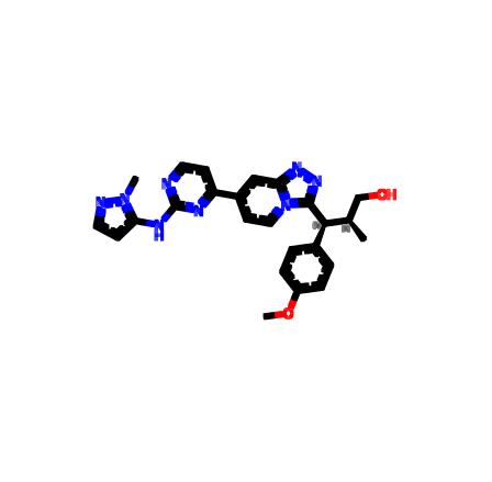 COc1ccc([C@@H](c2nnc3cc(-c4ccnc(Nc5ccnn5C)n4)ccn23)[C@H](C)CO)cc1